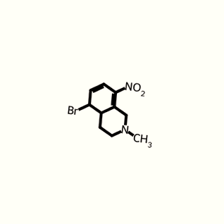 CN1CCC2C(=C([N+](=O)[O-])C=CC2Br)C1